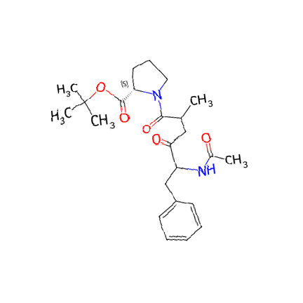 CC(=O)NC(Cc1ccccc1)C(=O)CC(C)C(=O)N1CCC[C@H]1C(=O)OC(C)(C)C